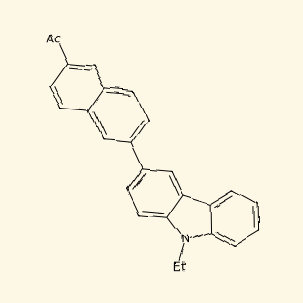 CCn1c2ccccc2c2cc(-c3ccc4cc(C(C)=O)ccc4c3)ccc21